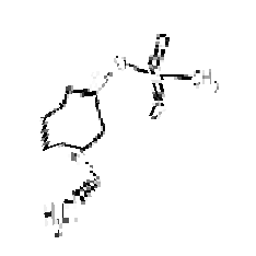 C=C[C@@H]1CCC[C@H](OS(C)(=O)=O)C1